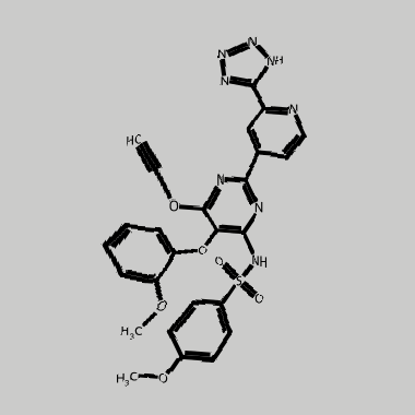 C#COc1nc(-c2ccnc(-c3nnn[nH]3)c2)nc(NS(=O)(=O)c2ccc(OC)cc2)c1Oc1ccccc1OC